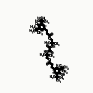 CC(C)(COC(=O)CCc1cc(C(C)(C)C)c(O)c(C(C)(C)C)c1)NC(=O)C(=O)NC(C)(C)COC(=O)CCc1cc(C(C)(C)C)c(O)c(C(C)(C)C)c1